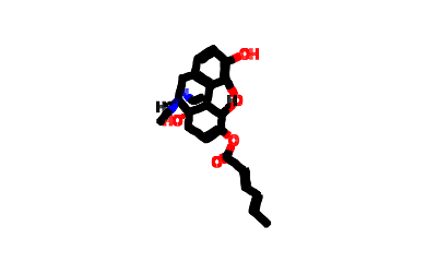 C/C=C/C=C/C(=O)OC1=CC[C@@]2(O)[C@H]3Cc4ccc(O)c5c4[C@@]2(CCN3C)[C@H]1O5